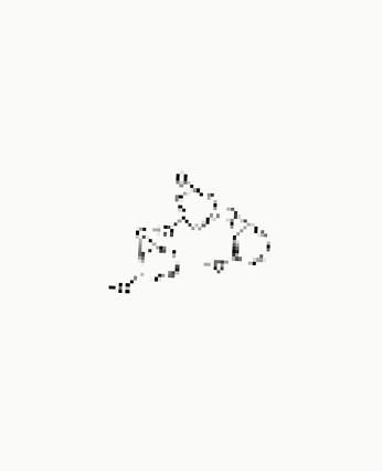 Oc1cccc2c1O2.Oc1cccc2c1O2.Oc1cccc2c1O2